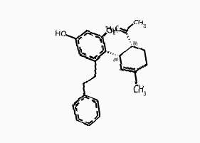 C=C(C)[C@@H]1CCC(C)=C[C@@H]1c1c(O)cc(O)cc1CCc1ccccc1